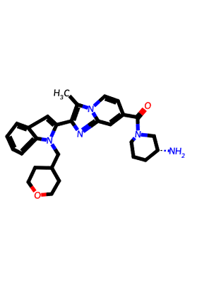 Cc1c(-c2cc3ccccc3n2CC2CCOCC2)nc2cc(C(=O)N3CCC[C@@H](N)C3)ccn12